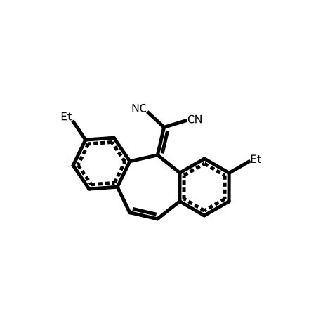 CCc1ccc2c(c1)C(=C(C#N)C#N)c1cc(CC)ccc1C=C2